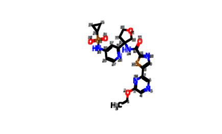 CCOc1cncc(-c2cnc(C(=O)N[C@@]3(c4cc(NS(=O)(=O)C5CC5)ccn4)CCOC3)s2)n1